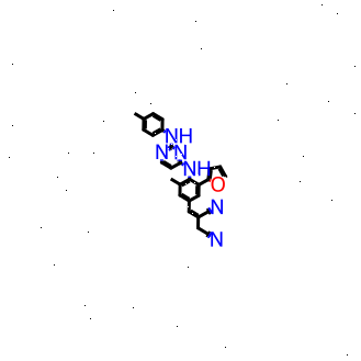 Cc1ccc(Nc2nccc(Nc3c(C)cc(/C=C(\C#N)CC#N)cc3-c3ccco3)n2)cc1